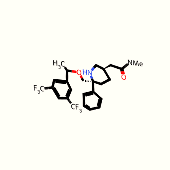 CNC(=O)C[C@H]1CC[C@@](COC(C)c2cc(C(F)(F)F)cc(C(F)(F)F)c2)(c2ccccc2)NC1